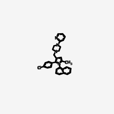 Cc1cc(CN2CCN(c3ccccn3)CC2)c(-c2ccc(Cl)cc2)n1-c1cccc2ccccc12